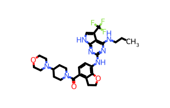 CCCNc1nc(Nc2ccc(C(=O)N3CCC(N4CCOCC4)CC3)c3c2OCC3)nc2[nH]cc(C(F)(F)F)c12